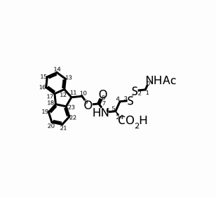 CC(=O)NCSSC[C@H](NC(=O)OCC1c2ccccc2-c2ccccc21)C(=O)O